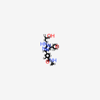 Cc1cc(-c2cnc3c(NCCC(C)CO)nc(C4=CCOCC4)cn23)ccc1C(=O)NC1CC1